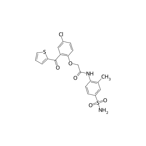 Cc1cc(S(N)(=O)=O)ccc1NC(=O)COc1ccc(Cl)cc1C(=O)c1cccs1